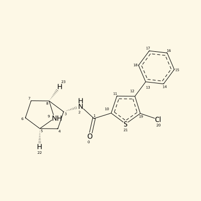 O=C(N[C@@H]1C[C@H]2CC[C@@H]1N2)c1cc(-c2ccccc2)c(Cl)s1